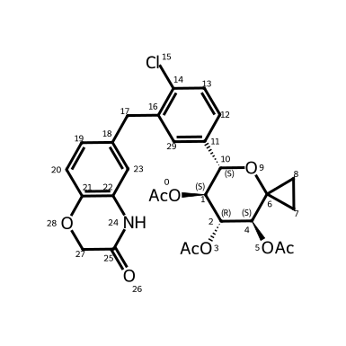 CC(=O)O[C@@H]1[C@@H](OC(C)=O)[C@H](OC(C)=O)C2(CC2)O[C@H]1c1ccc(Cl)c(Cc2ccc3c(c2)NC(=O)CO3)c1